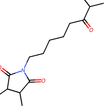 CC(C)C(=O)CCCCCN1C(=O)C(C)C(C)C1=O